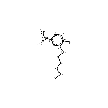 COCCCOc1cc([N+](=O)[O-])ccc1C